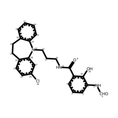 O=CNc1cccc(C(=O)NCCCN2c3ccccc3CCc3ccc(Cl)cc32)c1O